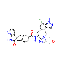 CC(C)(O)c1cnc2n1Cc1c(cc(Cl)c3[nH]ncc13)CC2NC(=O)c1ccc2c(c1)CC1(C2)C(=O)Nc2ncccc21